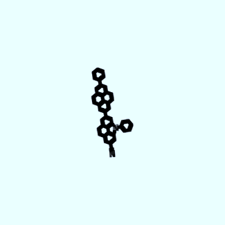 N#Cc1cc2ccc3cc(-c4cc5ccc6cc(-c7ccccc7)cc7ccc(c4)c5c67)cc4c3c2c(c1)n4-c1ccccc1